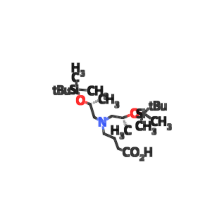 C[C@H](CN(CCCC(=O)O)C[C@@H](C)O[Si](C)(C)C(C)(C)C)O[Si](C)(C)C(C)(C)C